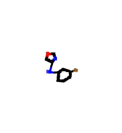 Brc1cccc(Nc2cocn2)c1